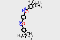 CC(C)(C)c1ccc(-c2nnc(-c3ccc(-c4nnc(-c5ccc(C(C)(C)C)cc5)o4)cc3)o2)cc1